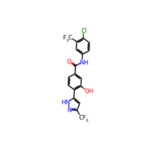 O=C(Nc1ccc(Cl)c(C(F)(F)F)c1)c1ccc(-c2cc(C(F)(F)F)n[nH]2)c(O)c1